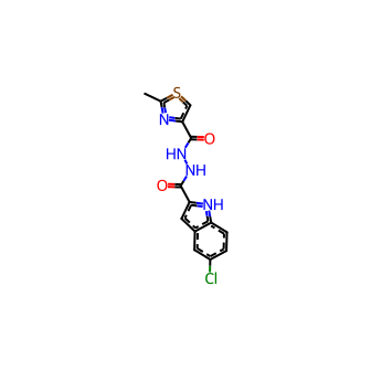 Cc1nc(C(=O)NNC(=O)c2cc3cc(Cl)ccc3[nH]2)cs1